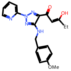 CCC(O)=CC(=O)c1nn(-c2ccccn2)nc1NCc1ccc(OC)cc1